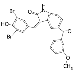 COc1cccc(C(=O)c2ccc3c(c2)C(=Cc2cc(Br)c(O)c(Br)c2)C(=O)N3)c1